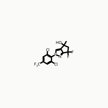 CC1(O)CC(F)(F)c2nn(-c3c(Cl)cc(C(F)(F)F)cc3Cl)cc21